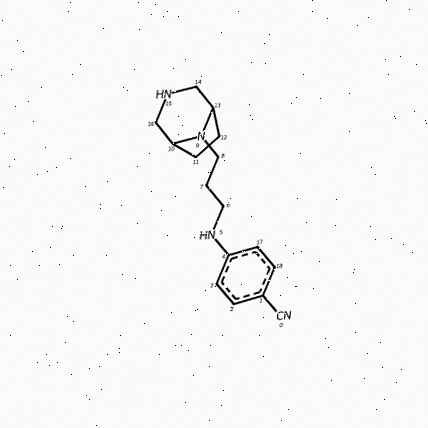 N#Cc1ccc(NCCCN2C3CCC2CNC3)cc1